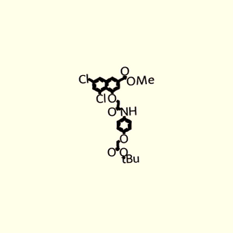 COC(=O)c1cc(OCC(=O)Nc2ccc(OCC(=O)OC(C)(C)C)cc2)c2c(Cl)cc(Cl)cc2c1